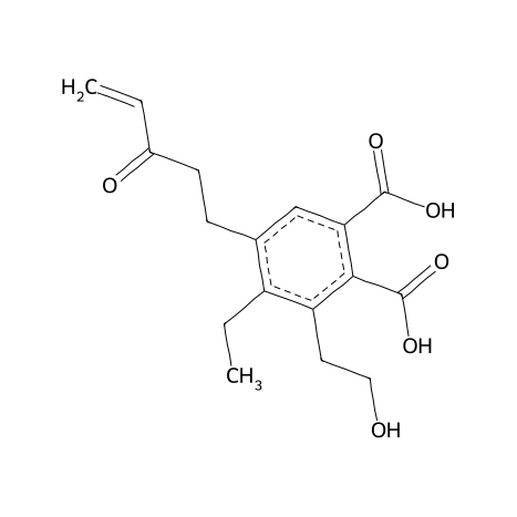 C=CC(=O)CCc1cc(C(=O)O)c(C(=O)O)c(CCO)c1CC